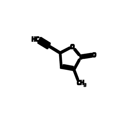 C#CC1C=C(C)S(=O)O1